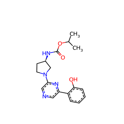 CC(C)OC(=O)N[C@@H]1CCN(c2cncc(-c3ccccc3O)n2)C1